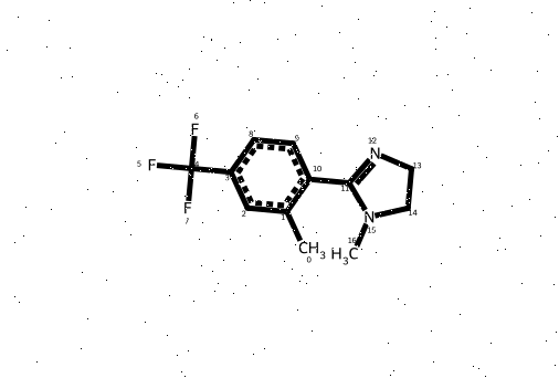 Cc1cc(C(F)(F)F)ccc1C1=NCCN1C